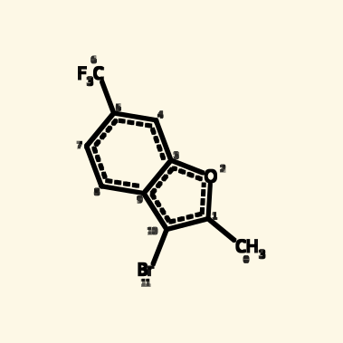 Cc1oc2cc(C(F)(F)F)ccc2c1Br